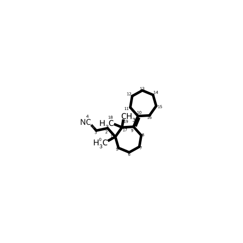 CC1(CCC#N)CCCCC(=C2CCCCCC2)C1(C)C